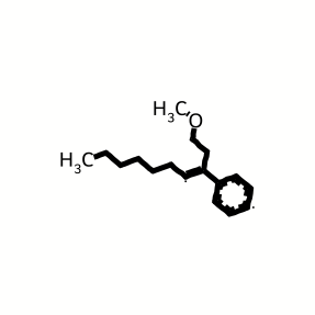 CCCCCC[C]=C(CCOC)c1cc[c]cc1